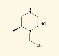 C[C@H]1CNCCN1CC(F)(F)F.Cl